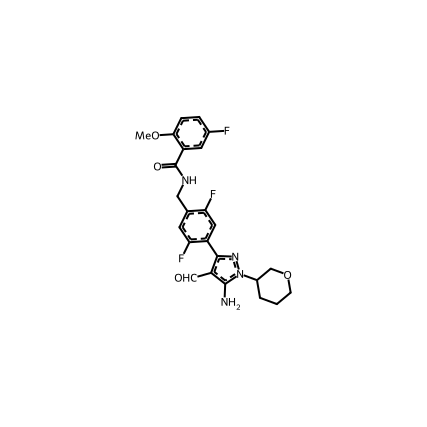 COc1ccc(F)cc1C(=O)NCc1cc(F)c(-c2nn(C3CCCOC3)c(N)c2C=O)cc1F